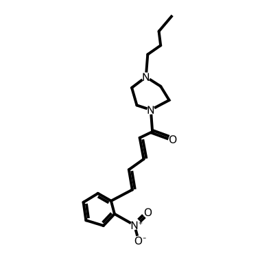 CCCCN1CCN(C(=O)/C=C/C=C/c2ccccc2[N+](=O)[O-])CC1